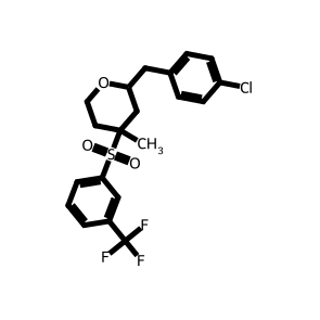 CC1(S(=O)(=O)c2cccc(C(F)(F)F)c2)CCOC(Cc2ccc(Cl)cc2)C1